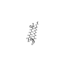 C=CCC=CCCCCCCCC(=O)OC.C=CCCCCCCCC(=O)OC